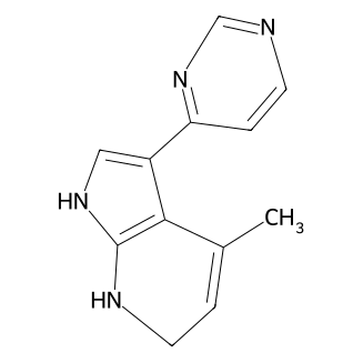 CC1=CCNc2[nH]cc(-c3ccncn3)c21